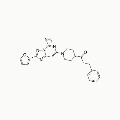 Nc1nc(N2CCN(C(=O)CCc3ccccc3)CC2)cc2nc(-c3ccco3)nn12